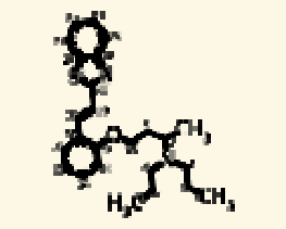 CCCN(CCC)C(C)CCOc1ccccc1C=Cc1nc2ccccc2s1